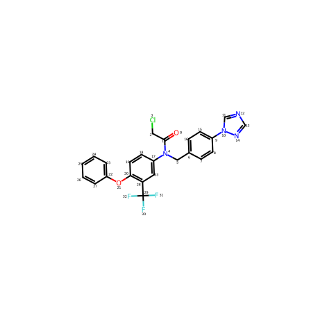 O=C(CCl)N(Cc1ccc(-n2cncn2)cc1)c1ccc(Oc2ccccc2)c(C(F)(F)F)c1